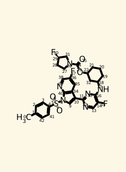 Cc1ccc(S(=O)(=O)n2cc(-c3ncc(F)c(NC4CCCC(OC(=O)N5CC[C@@H](F)C5)C4)n3)c3cc(F)cnc32)cc1